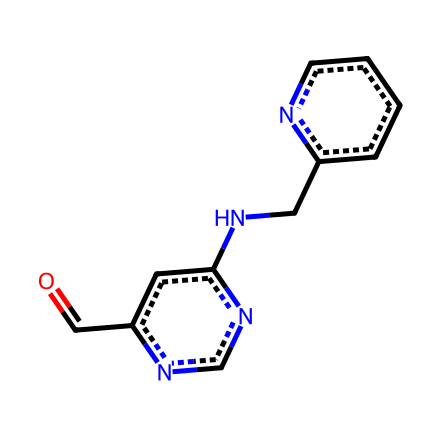 O=Cc1cc(NCc2ccccn2)ncn1